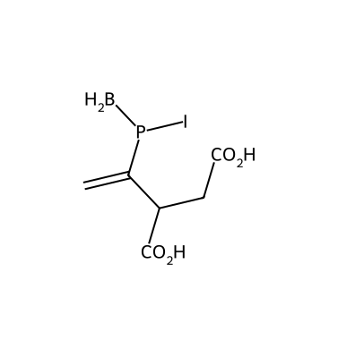 BP(I)C(=C)C(CC(=O)O)C(=O)O